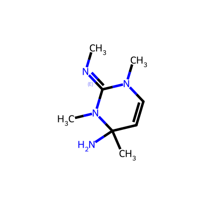 C/N=C1\N(C)C=CC(C)(N)N1C